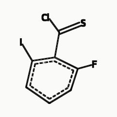 Fc1cccc(I)c1C(=S)Cl